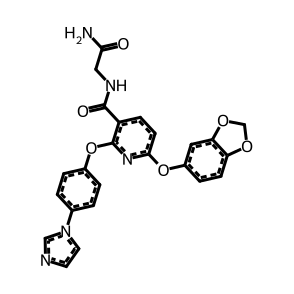 NC(=O)CNC(=O)c1ccc(Oc2ccc3c(c2)OCO3)nc1Oc1ccc(-n2ccnc2)cc1